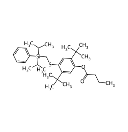 CCCC(=O)Oc1cc(C(C)(C)C)c(SC[Si](c2ccccc2)(C(C)C)C(C)C)cc1C(C)(C)C